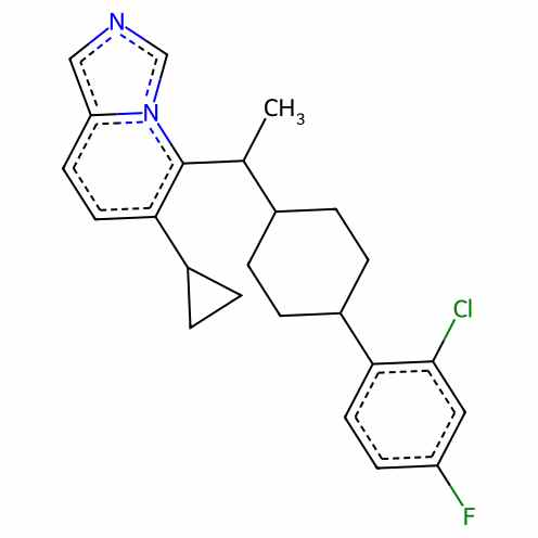 CC(c1c(C2CC2)ccc2cncn12)C1CCC(c2ccc(F)cc2Cl)CC1